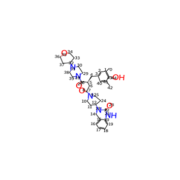 Cc1cc(C[C@@H](CC(=O)N2CCC(N3Cc4ccccc4NC3=O)CC2)C(=O)N2CCN(C3CCOCC3)CC2)cc(C)c1O